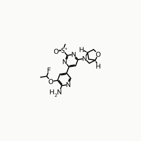 CC(F)Oc1cc(-c2cc(N3C[C@@H]4C[C@H]3CO4)nc([S+](C)[O-])n2)cnc1N